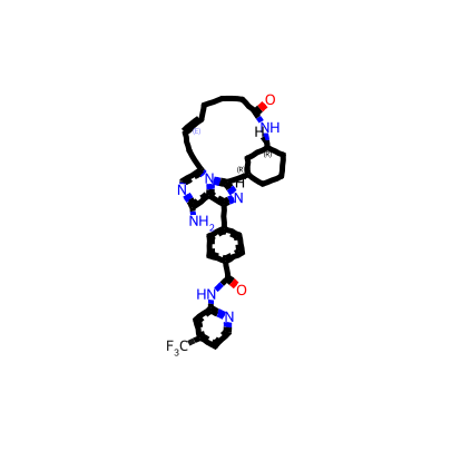 Nc1ncc2n3c(nc(-c4ccc(C(=O)Nc5cc(C(F)(F)F)ccn5)cc4)c13)[C@@H]1CCC[C@H](C1)NC(=O)CCC/C=C/C2